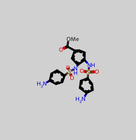 COC(=O)c1ccc(NS(=O)(=O)c2ccc(N)cc2)c(NS(=O)(=O)c2ccc(N)cc2)c1